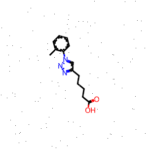 Cc1ccccc1-n1cc(CCCCC(=O)O)nn1